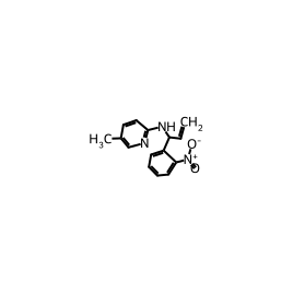 C=CC(Nc1ccc(C)cn1)c1ccccc1[N+](=O)[O-]